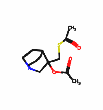 CC(=O)OC1(CSC(C)=O)CN2CCC1CC2